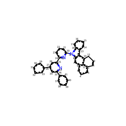 C1=Cc2cccc3cc4c(c(c23)C1)c1ccccc1n4-c1cccc(-c2cc(-c3ccccc3)cc(-c3ccccc3)n2)n1